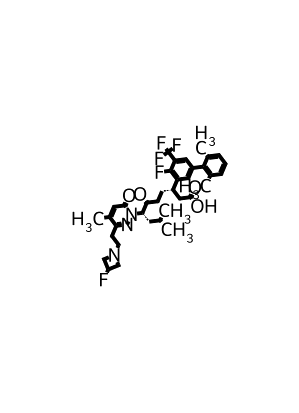 Cc1cc(=O)n([C@@H](CC(C)C)C(=O)CC[C@@H](CC(=O)O)c2cc(-c3c(C)cccc3C)cc(C(F)(F)F)c2F)nc1CCN1CC(F)C1